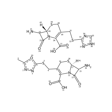 Cc1nnc(SCC2=C(C(=O)O)N3C(=O)C(N)[C@@H]3SC2)o1.NC1C(=O)N2C(C(=O)O)=C(CSc3nc[nH]n3)CS[C@@H]12